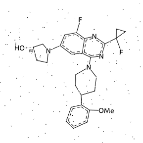 COc1ccccc1C1CCN(c2nc(C3(F)CC3)nc3c(F)cc(N4CC[C@H](O)C4)cc23)CC1